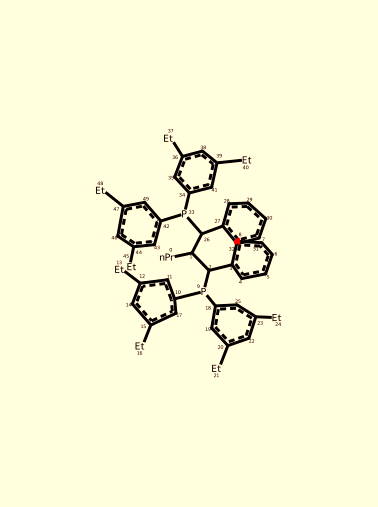 CCCC(C(c1ccccc1)P(c1cc(CC)cc(CC)c1)c1cc(CC)cc(CC)c1)C(c1ccccc1)P(c1cc(CC)cc(CC)c1)c1cc(CC)cc(CC)c1